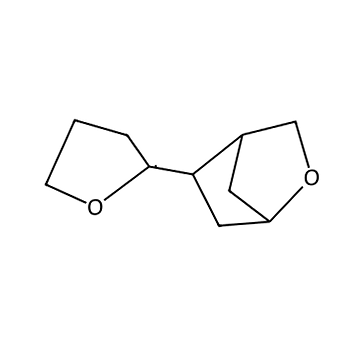 C1CO[C](C2CC3CC2CO3)C1